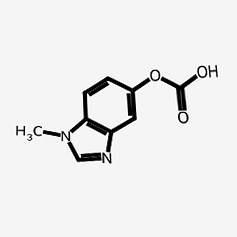 Cn1cnc2cc(OC(=O)O)ccc21